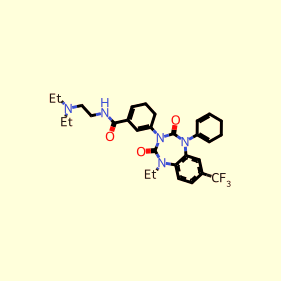 CCN(CC)CCNC(=O)C1=CCCC(N2C(=O)N(CC)c3ccc(C(F)(F)F)cc3N(C3=CCCC=C3)C2=O)=C1